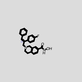 O=C(NO)c1ccc2c(c1)CN(C/C(=C/c1ccccc1)c1ccc(F)cc1)CC2